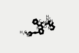 C[C@H](NC(=O)c1c(N)ncc2cccnc12)c1cc2cccc(C#Cc3cnn(C)c3)c2nc1-c1ccccc1